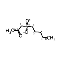 CCCCCS(=O)(=O)CC(C)=O